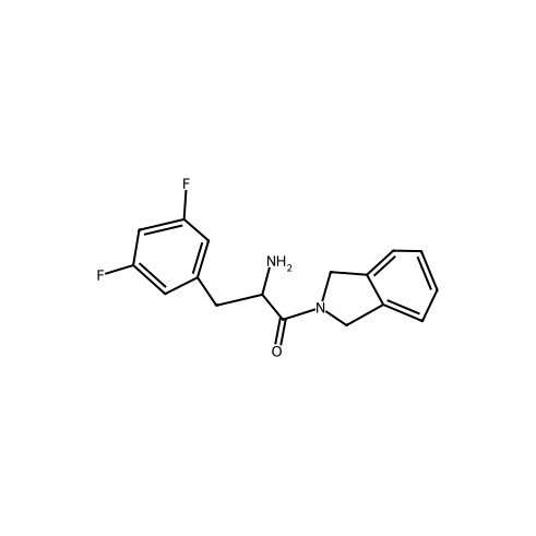 NC(Cc1cc(F)cc(F)c1)C(=O)N1Cc2ccccc2C1